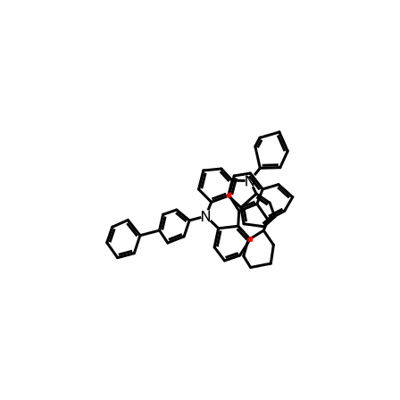 c1ccc(-c2ccc(N(c3ccccc3-c3cccc4cccc(C5CCCCC5)c34)c3cccc4c3c3ccccc3n4-c3ccccc3)cc2)cc1